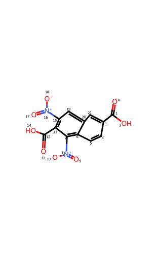 O=C(O)c1ccc2c([N+](=O)[O-])c(C(=O)O)c([N+](=O)[O-])cc2c1